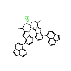 CC(C)C1=Cc2c(-c3ccc4c5c(cccc35)C=C4)cccc2[CH]1[Zr+2]([CH]1C(C(C)C)=Cc2c(-c3ccc4c5c(cccc35)C=C4)cccc21)=[Si](C)C.[Cl-].[Cl-]